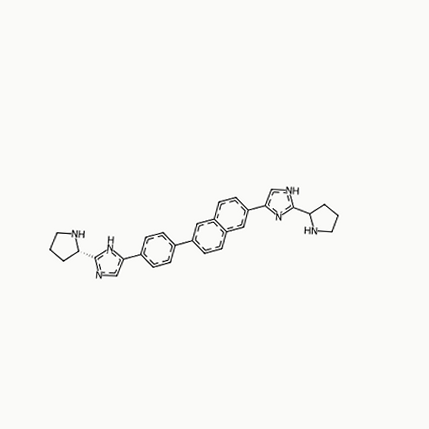 c1cc(-c2cnc([C@@H]3CCCN3)[nH]2)ccc1-c1ccc2cc(-c3c[nH]c(C4CCCN4)n3)ccc2c1